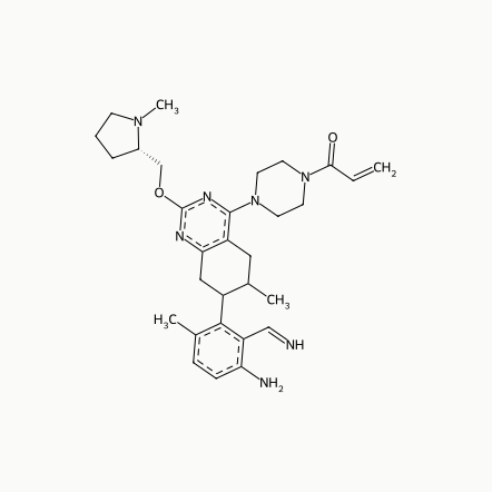 C=CC(=O)N1CCN(c2nc(OC[C@@H]3CCCN3C)nc3c2CC(C)C(c2c(C)ccc(N)c2C=N)C3)CC1